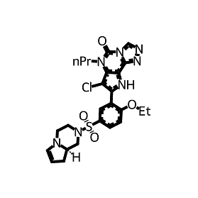 CCCn1c(=O)n2cnnc2c2[nH]c(-c3cc(S(=O)(=O)N4CCN5C=CC[C@@H]5C4)ccc3OCC)c(Cl)c21